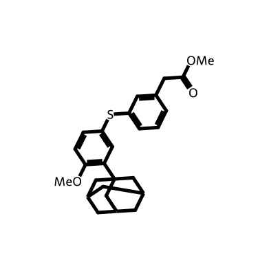 COC(=O)Cc1cccc(Sc2ccc(OC)c(C34CC5CC(CC(C5)C3)C4)c2)c1